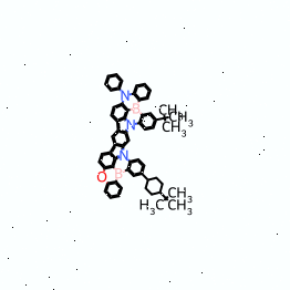 CC(C)(C)c1ccc2c(c1)B1c3ccccc3N(c3ccccc3)c3ccc4c5cc6c7ccc8c9c7n(c6cc5n-2c4c31)-c1ccc(C2CCC(C(C)(C)C)CC2)cc1B9c1ccccc1O8